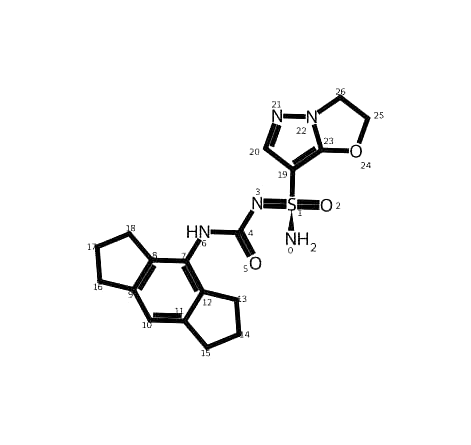 N[S@@](=O)(=NC(=O)Nc1c2c(cc3c1CCC3)CCC2)c1cnn2c1OCC2